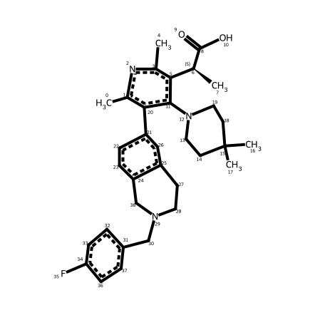 Cc1nc(C)c([C@H](C)C(=O)O)c(N2CCC(C)(C)CC2)c1-c1ccc2c(c1)CCN(Cc1ccc(F)cc1)C2